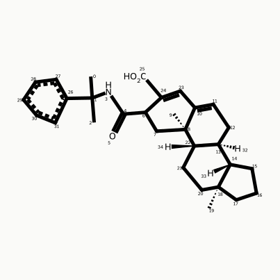 CC(C)(NC(=O)C1C[C@@]2(C)C(=CC[C@H]3[C@@H]4CCC[C@@]4(C)CC[C@@H]32)C=C1C(=O)O)c1ccccc1